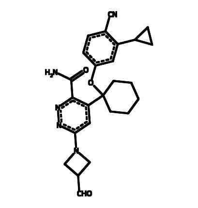 N#Cc1ccc(OC2(c3cc(N4CC(C=O)C4)nnc3C(N)=O)CCCCC2)cc1C1CC1